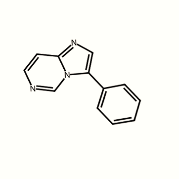 c1ccc(-c2cnc3ccncn23)cc1